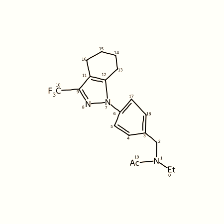 CCN(Cc1ccc(-n2nc(C(F)(F)F)c3c2CCCC3)cc1)C(C)=O